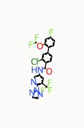 O=C(Nc1cnc(-n2nccn2)c(C(F)(F)F)c1)c1ccc(-c2ccc(F)cc2OC(F)F)cc1Cl